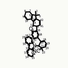 CC1(C)C2=C(C3=C1CCC=C3)C1Oc3ccc(C4=CC=CC(C)(C#N)C4n4c5ccccc5c5ccccc54)cc3C1C=C2